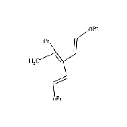 CCCC=CC(C=CCCC)=C(C)C(C)C